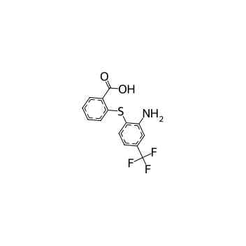 Nc1cc(C(F)(F)F)ccc1Sc1ccccc1C(=O)O